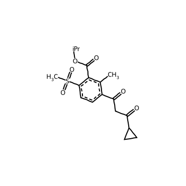 Cc1c(C(=O)CC(=O)C2CC2)ccc(S(C)(=O)=O)c1C(=O)OC(C)C